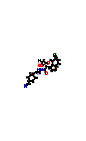 CP(=O)(O)C(C(=O)N/C=C/c1ccc(C#N)cc1)c1csc2ccc(Cl)cc12